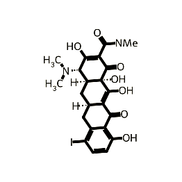 CNC(=O)C1=C(O)[C@@H](N(C)C)[C@@H]2C[C@@H]3Cc4c(I)ccc(O)c4C(=O)C3=C(O)[C@]2(O)C1=O